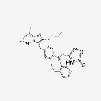 CCCCc1nc2c(C)cc(C)nc2n1Cc1ccc2c(c1)CCc1ccccc1N2Cc1noc(=O)[nH]1